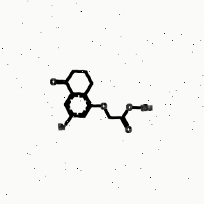 CC(C)(C)OC(=O)COc1cc(Br)cc2c1CCCC2=O